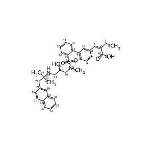 CCC(=Cc1cccc(-c2ccccc2S(=O)(=O)N(C)CC(O)CNC(C)(C)Cc2ccc3ccccc3c2)c1)C(=O)O